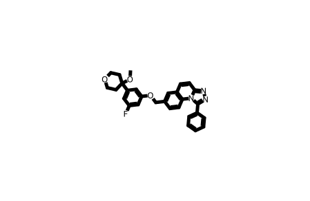 COC1(c2cc(F)cc(OCc3ccc4c(ccc5nnc(-c6ccccc6)n54)c3)c2)CCOCC1